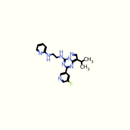 CC(C)c1cnn2c(NCCNc3ccccn3)nc(-c3cncc(F)c3)nc12